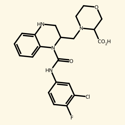 O=C(O)C1COCCN1CC1CNc2ccccc2N1C(=O)Nc1ccc(F)c(Cl)c1